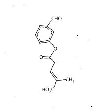 CC(=CCC(=O)Oc1cccc(C=O)c1)C(=O)O